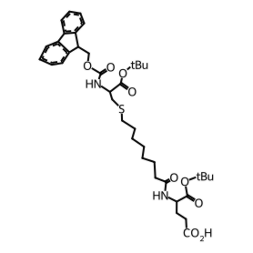 CC(C)(C)OC(=O)C(CCC(=O)O)NC(=O)CCCCCCCSCC(NC(=O)OCC1c2ccccc2-c2ccccc21)C(=O)OC(C)(C)C